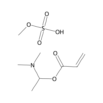 C=CC(=O)OC(C)N(C)C.COS(=O)(=O)O